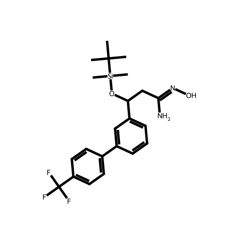 CC(C)(C)[Si](C)(C)OC(CC(N)=NO)c1cccc(-c2ccc(C(F)(F)F)cc2)c1